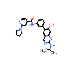 CC(C)Nc1ncc2cc(-c3cccc(NC(=O)c4ccnc(N5CCCC5)c4)c3)c(O)cc2n1